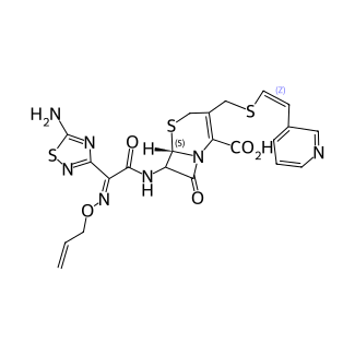 C=CCON=C(C(=O)NC1C(=O)N2C(C(=O)O)=C(CS/C=C\c3cccnc3)CS[C@@H]12)c1nsc(N)n1